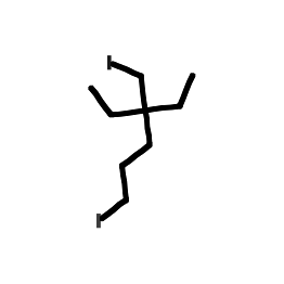 CCC(CC)(CI)CCCI